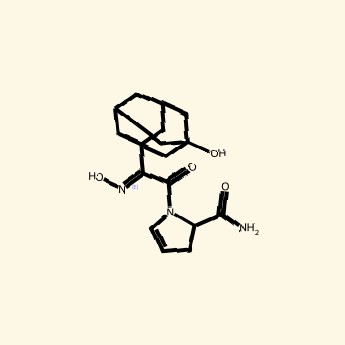 NC(=O)C1CC=CN1C(=O)/C(=N/O)C12CC3CC(CC(O)(C3)C1)C2